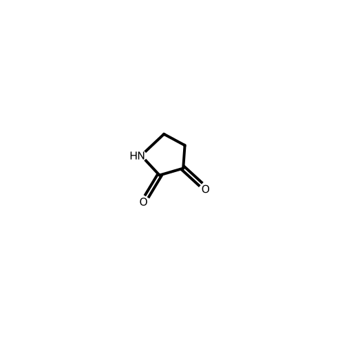 O=C1CCNC1=O